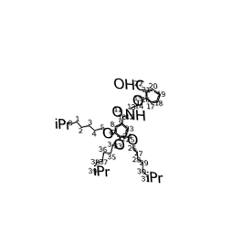 CC(C)CCCCCOc1cc(C(=O)NCCOc2ccccc2C=O)cc(OCCCCCC(C)C)c1OCCCCCC(C)C